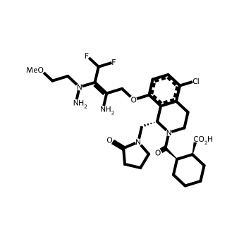 COCCN(N)/C(=C(\N)COc1ccc(Cl)c2c1[C@@H](CN1CCCC1=O)N(C(=O)[C@@H]1CCCC[C@@H]1C(=O)O)CC2)C(F)F